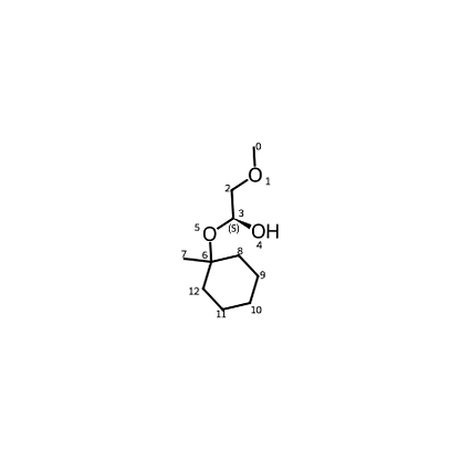 COC[C@@H](O)OC1(C)CCCCC1